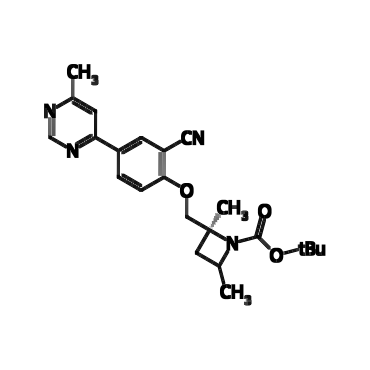 Cc1cc(-c2ccc(OC[C@]3(C)CC(C)N3C(=O)OC(C)(C)C)c(C#N)c2)ncn1